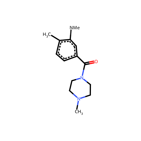 CNc1cc(C(=O)N2CCN(C)CC2)ccc1C